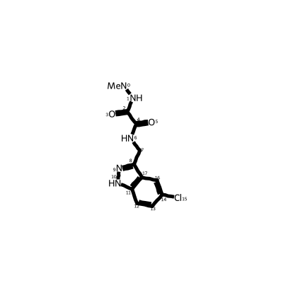 CNNC(=O)C(=O)NCc1n[nH]c2ccc(Cl)cc12